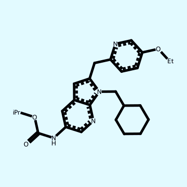 CCOc1ccc(Cc2cc3cc(NC(=O)OC(C)C)cnc3n2CC2CCCCC2)nc1